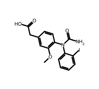 COc1cc(CC(=O)O)ccc1N(C(N)=O)c1ccccc1I